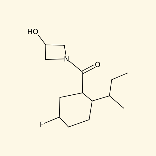 CCC(C)C1CCC(F)CC1C(=O)N1CC(O)C1